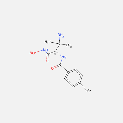 CCCc1ccc(C(=O)N[C@H](C(=O)NO)C(C)(C)N)cc1